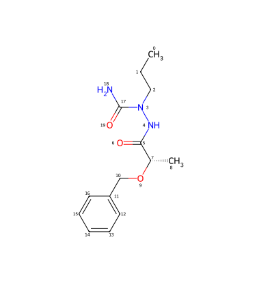 CCCN(NC(=O)[C@H](C)OCc1ccccc1)C(N)=O